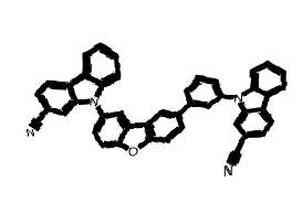 N#Cc1ccc2c3ccccc3n(-c3cccc(-c4ccc5oc6ccc(-n7c8ccccc8c8ccc(C#N)cc87)cc6c5c4)c3)c2c1